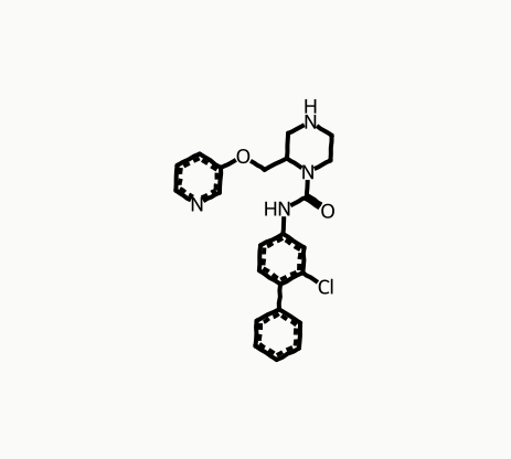 O=C(Nc1ccc(-c2ccccc2)c(Cl)c1)N1CCNCC1COc1cccnc1